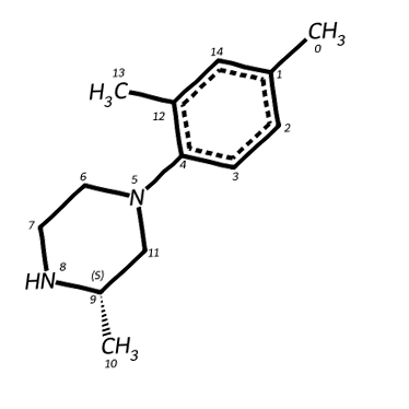 Cc1ccc(N2CCN[C@@H](C)C2)c(C)c1